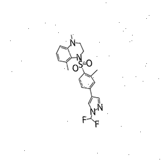 Cc1cc(-c2cnn(C(F)F)c2)ccc1S(=O)(=O)N1CCN(C)c2cccc(C)c21